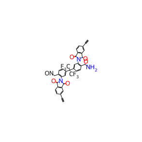 C#Cc1ccc2c(c1)C(=O)N(c1cc(C(c3ccc(C(N)=O)c(N4C(=O)c5ccc(C#C)cc5C4=O)c3)(C(F)(F)F)C(F)(F)F)ccc1CN=O)C2=O